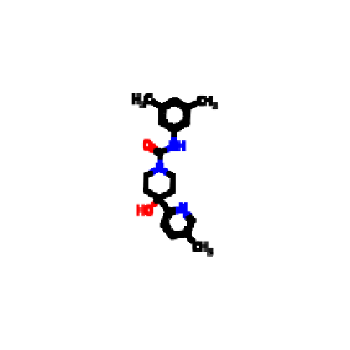 Cc1ccc(C2(O)CCN(C(=O)Nc3cc(C)cc(C)c3)CC2)nc1